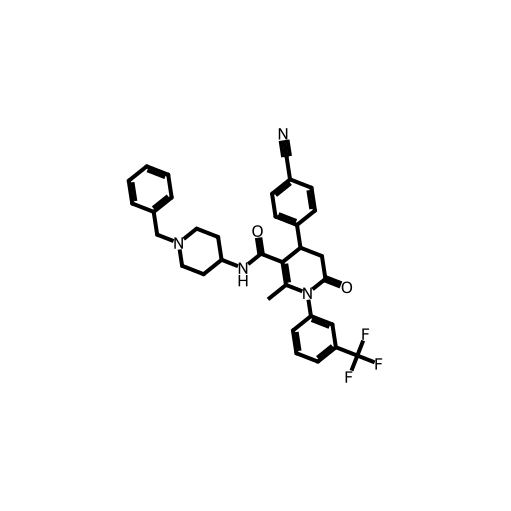 CC1=C(C(=O)NC2CCN(Cc3ccccc3)CC2)C(c2ccc(C#N)cc2)CC(=O)N1c1cccc(C(F)(F)F)c1